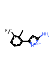 Cc1c(-c2cc(N)[nH]n2)cccc1C(F)(F)F